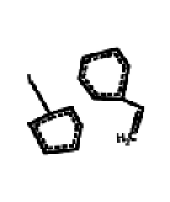 C=Cc1ccccc1.Ic1ccccc1